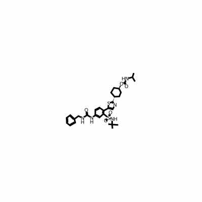 CC(C)NC(=O)O[C@H]1CC[C@H](c2ncc(-c3ccc(NC(=O)NCc4ccccc4)cc3S(=O)(=O)NC(C)(C)C)s2)CC1